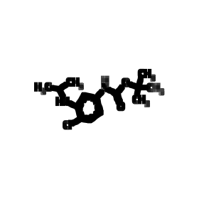 CC(C)Nc1cc(NC(=O)OC(C)(C)C)ccc1Cl